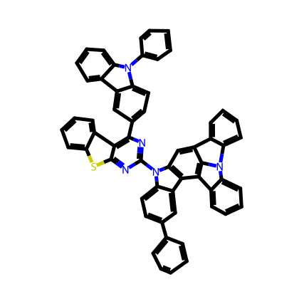 c1ccc(-c2ccc3c(c2)c2c4c5ccccc5n5c6ccccc6c(cc2n3-c2nc(-c3ccc6c(c3)c3ccccc3n6-c3ccccc3)c3c(n2)sc2ccccc23)c45)cc1